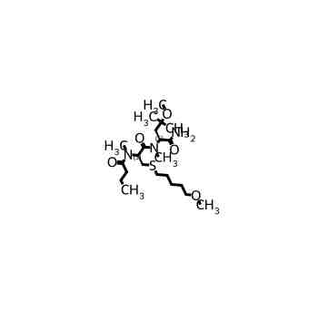 CCCC(=O)N(C)[C@H](CSCCCCCOC)C(=O)N(C)[C@@H](CC(C)(C)OC)C(N)=O